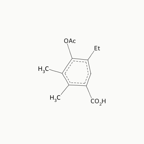 CCc1cc(C(=O)O)c(C)c(C)c1OC(C)=O